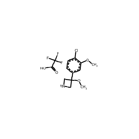 COc1cc(C2(OC)CNC2)ccc1Cl.O=C(O)C(F)(F)F